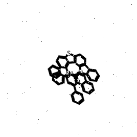 c1ccc(-c2cc(-c3ccccc3)nc(-n3c4ccccc4c4ccc5sc6ccc7c8ccccc8n(-c8ccc9ccccc9c8)c7c6c5c43)n2)cc1